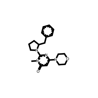 Cn1c(N2CCCC2Cc2ccccc2)nc(N2CCOCC2)cc1=O